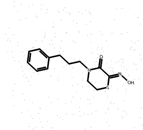 O=C1C(=NO)SCCN1CCCc1ccccc1